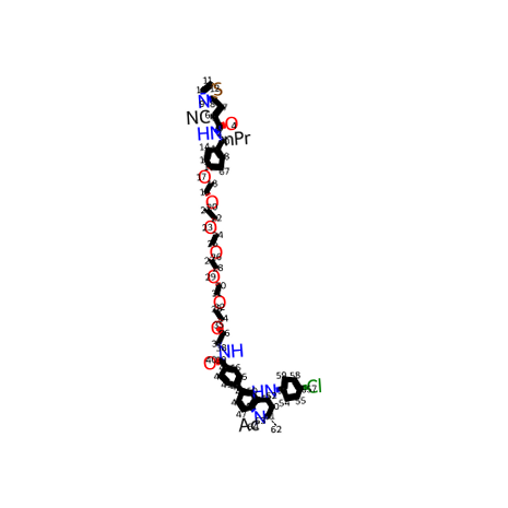 CCCC(NC(=O)/C(C#N)=C/c1nccs1)c1ccc(OCCOCCOCCOCCOCCOCCOCCNC(=O)c2ccc(-c3ccc4c(c3)[C@H](Nc3ccc(Cl)cc3)C[C@H](C)N4C(C)=O)cc2)cc1